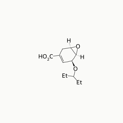 CCC(CC)O[C@H]1C=C(C(=O)O)C[C@H]2O[C@@H]12